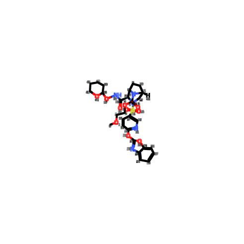 COCCOC(=O)N1C2CC[C@@H]1CN(S(=O)(=O)c1ccc(Oc3nc4ccccc4o3)nc1)[C@H]2C(=O)NOC1CCCCO1